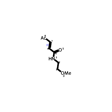 COCCNC(=O)/C=C/C(C)=O